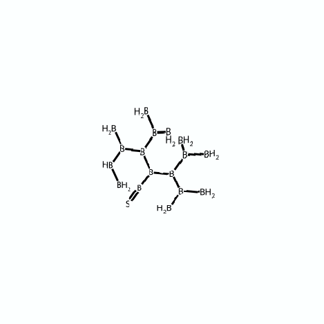 BBB(B)B(B(B)B)B(B=S)B(B(B)B)B(B)B